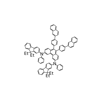 CCC1(CC)c2ccccc2-c2ccc(N(c3ccccc3)c3ccc4c(-c5ccc(-c6ccc7ccccc7c6)cc5)c(-c5ccc(-c6ccc7ccccc7c6)cc5)c5ccc(N(c6ccccc6)c6ccc7c(c6)C(CC)(CC)c6ccccc6-7)cc5c4c3)cc21